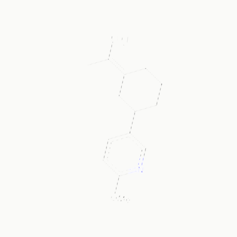 COc1ccc(C2CCCC(=C(C)C(=O)O)C2)cn1